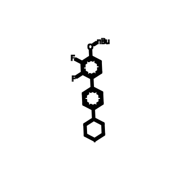 CCCCOc1ccc(-c2ccc(C3CC[CH]CC3)cc2)c(F)c1F